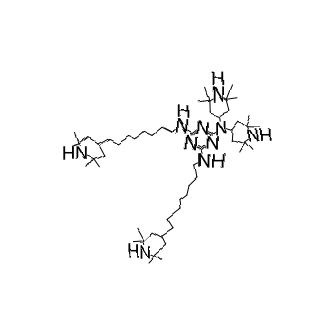 CC1(C)CC(CCCCCCCCNc2nc(NCCCCCCCCC3CC(C)(C)NC(C)(C)C3)nc(N(C3CC(C)(C)NC(C)(C)C3)C3CC(C)(C)NC(C)(C)C3)n2)CC(C)(C)N1